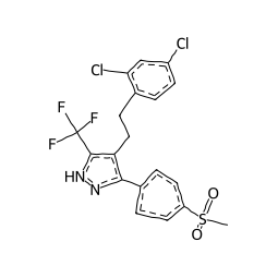 CS(=O)(=O)c1ccc(-c2n[nH]c(C(F)(F)F)c2CCc2ccc(Cl)cc2Cl)cc1